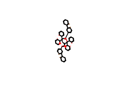 c1ccc2c(c1)Oc1ccccc1C21c2cc(-c3ccc4sc5ccccc5c4c3)oc2C2(c3ccccc3Oc3ccccc32)c2cc(-c3ccc4sc5ccccc5c4c3)oc21